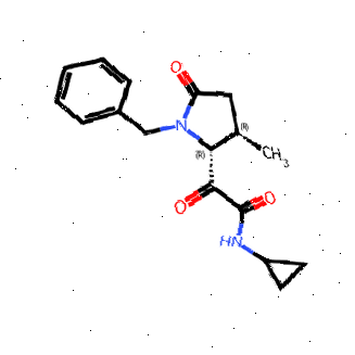 C[C@@H]1CC(=O)N(Cc2ccccc2)[C@H]1C(=O)C(=O)NC1CC1